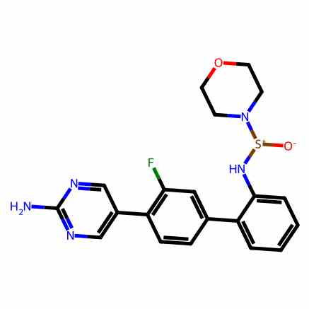 Nc1ncc(-c2ccc(-c3ccccc3N[S+]([O-])N3CCOCC3)cc2F)cn1